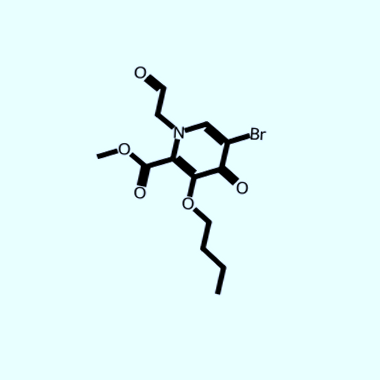 CCCCOc1c(C(=O)OC)n(CC=O)cc(Br)c1=O